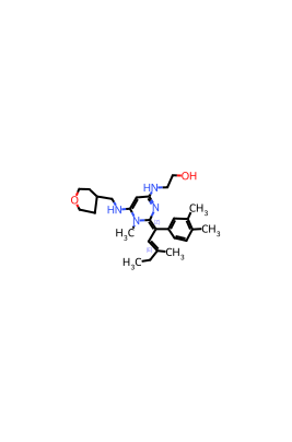 CC/C(C)=C/C(=C1/N=C(NCCO)C=C(NCC2CCOCC2)N1C)c1ccc(C)c(C)c1